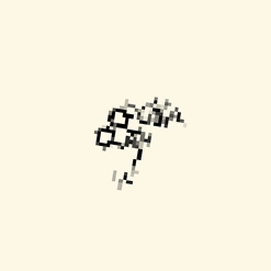 CCCCc1nc2c(NC(C)(C)C)nc3ccccc3c2n1Cc1ccccc1